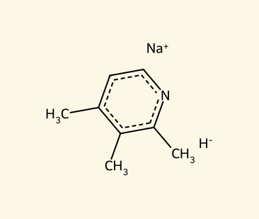 Cc1ccnc(C)c1C.[H-].[Na+]